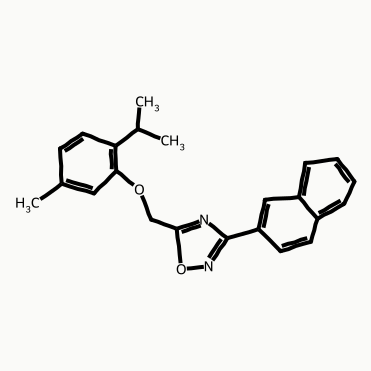 Cc1ccc(C(C)C)c(OCc2nc(-c3ccc4ccccc4c3)no2)c1